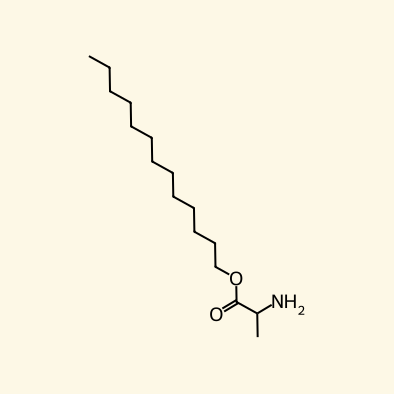 CCCCCCCCCCCCCOC(=O)C(C)N